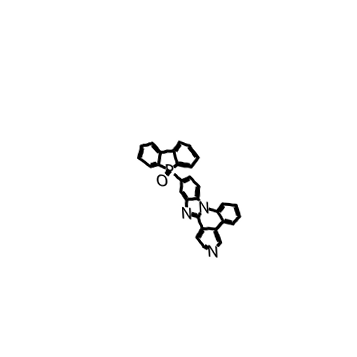 O=P1(c2ccc3c(c2)nc2c4ccncc4c4ccccc4n32)c2ccccc2-c2ccccc21